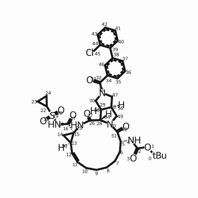 CC(C)(C)OC(=O)N[C@@H]1CCCCC/C=C\[C@H]2C[C@@]2(C(=O)NS(=O)(=O)C2CC2)NC(=O)[C@@H]2[C@H]3CN(C(=O)c4cccc(-c5ccccc5Cl)c4)C[C@H]3CN2C1=O